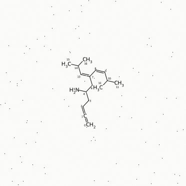 C=C=CCC(N)CC(/C=C\C(C)C)=C/C(C)C